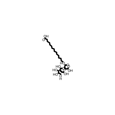 CCCCCCCCCCCCCCCC(=O)O.O=C(O)/C=C\C(=O)O.O=C(O)/C=C\C(=O)O.OCC(O)CO